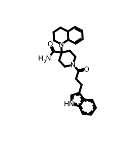 NC(=O)C1(N2CCCC3C=CC=CC32)CCN(C(=O)CCc2c[nH]c3ccccc23)CC1